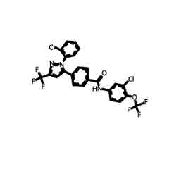 O=C(Nc1ccc(OC(F)(F)F)c(Cl)c1)c1ccc(-c2cc(C(F)(F)F)nn2-c2ccccc2Cl)cc1